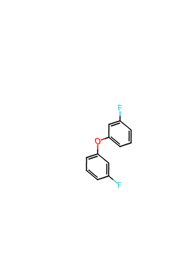 Fc1cccc(Oc2cccc(F)c2)c1